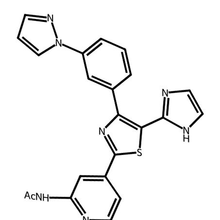 CC(=O)Nc1cc(-c2nc(-c3cccc(-n4cccn4)c3)c(-c3ncc[nH]3)s2)ccn1